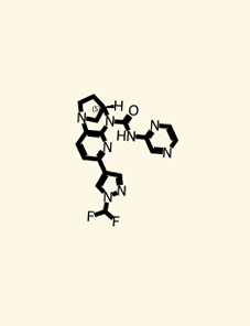 O=C(Nc1cnccn1)N1c2nc(-c3cnn(C(F)F)c3)ccc2N2CC[C@H]1C2